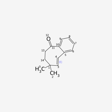 CC1(C)/C=C/c2ccccc2C(=O)CC1